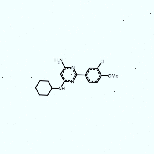 COc1ccc(-c2nc(N)cc(NC3CCCCC3)n2)cc1Cl